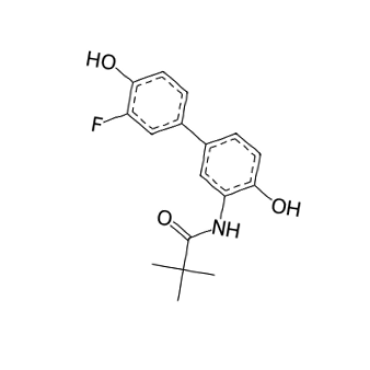 CC(C)(C)C(=O)Nc1cc(-c2ccc(O)c(F)c2)ccc1O